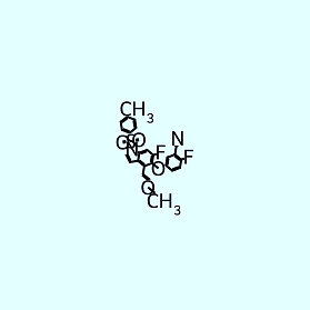 CCO/C=C/c1c(Oc2ccc(F)c(C#N)c2)c(F)cc2c1ccn2S(=O)(=O)c1ccc(C)cc1